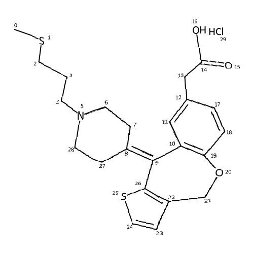 CSCCCN1CCC(=C2c3cc(CC(=O)O)ccc3OCc3ccsc32)CC1.Cl